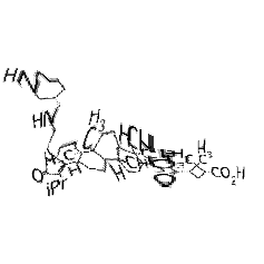 CC(C)C1=C2[C@H]3CC[C@@H]4[C@@]5(C)CC[C@H](OC(=O)[C@H]6C[C@@H](C(=O)O)C6(C)C)C(C)(C)[C@@H]5CC[C@@]4(C)[C@]3(C)CC[C@@]2(CCNC[C@H]2CCCNC2)CC1=O